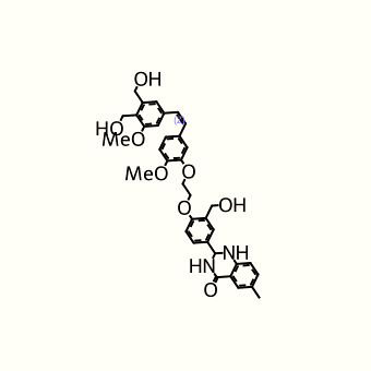 COc1ccc(/C=C\c2cc(CO)c(CO)c(OC)c2)cc1OCCOc1ccc(C2NC(=O)c3cc(C)ccc3N2)cc1CO